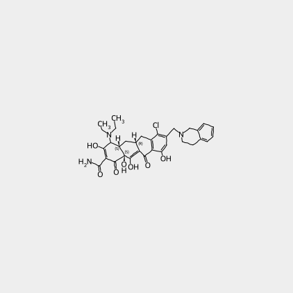 CCN(CC)C1C(O)=C(C(N)=O)C(=O)[C@@]2(O)C(O)=C3C(=O)c4c(O)cc(CN5CCc6ccccc6C5)c(Cl)c4C[C@H]3C[C@@H]12